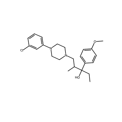 CCC(O)(c1ccc(OC)cc1)C(C)CN1CCN(c2cccc(Cl)c2)CC1